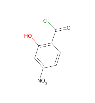 O=C(Cl)c1ccc([N+](=O)[O-])cc1O